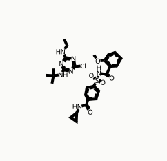 CCNc1nc(Cl)nc(NC(C)(C)C)n1.COc1ccccc1C(=O)NS(=O)(=O)c1ccc(C(=O)NC2CC2)cc1